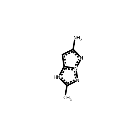 Cc1nn2nc(N)cc2[nH]1